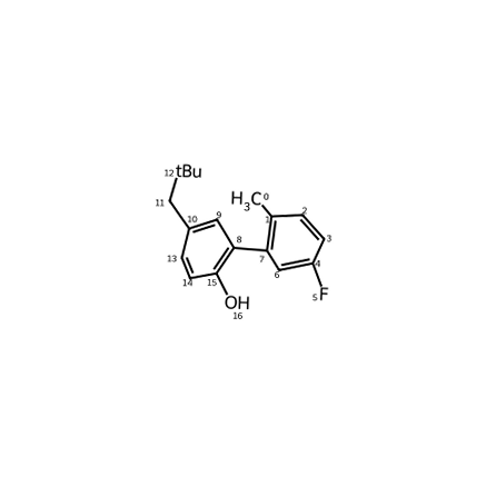 Cc1ccc(F)cc1-c1cc(CC(C)(C)C)ccc1O